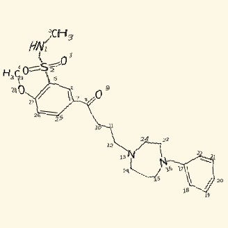 CNS(=O)(=O)c1cc(C(=O)CCCN2CCN(c3ccccc3)CC2)ccc1OC